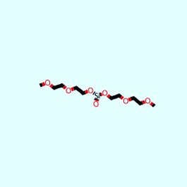 COCCOCCO[Si](=O)OCCOCCOC